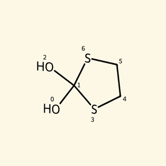 OC1(O)SCCS1